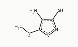 CNc1nnc(S)n1N